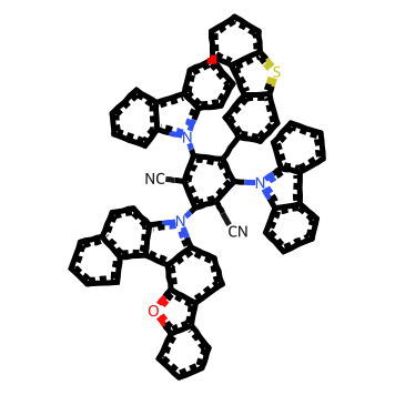 N#Cc1c(-n2c3ccccc3c3ccccc32)c(-c2ccc3sc4ccccc4c3c2)c(-n2c3ccccc3c3ccccc32)c(C#N)c1-n1c2ccc3ccccc3c2c2c3oc4ccccc4c3ccc21